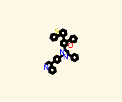 c1ccc(-c2cc(-c3ccc(-c4cccc5sc6ccccc6c45)c4c3oc3ccccc34)nc(-c3ccc(-c4ccnc5ccccc45)cc3)n2)cc1